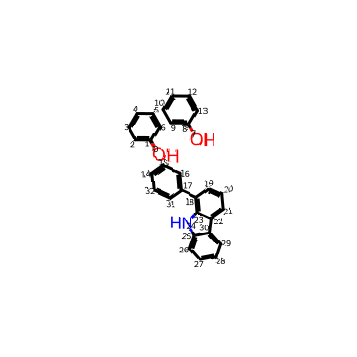 Oc1ccccc1.Oc1ccccc1.c1ccc(-c2cccc3c2[nH]c2ccccc23)cc1